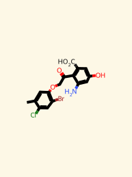 Cc1cc(OCC(=O)c2c(N)cc(O)cc2C(=O)O)c(Br)cc1Cl